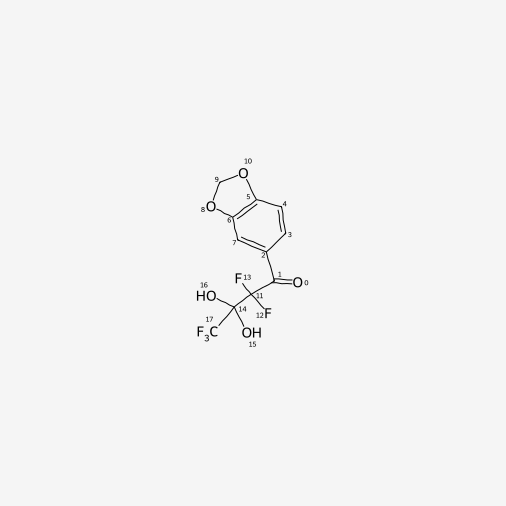 O=C(c1ccc2c(c1)OCO2)C(F)(F)C(O)(O)C(F)(F)F